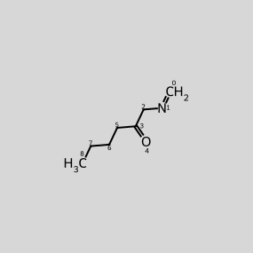 C=NCC(=O)CCCC